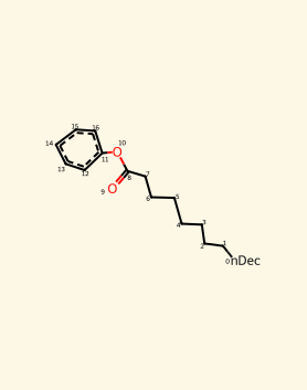 CCCCCCCCCCCCCCCCCC(=O)Oc1ccccc1